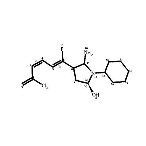 C=C(Cl)/C=C\C=C(/F)C1C[C@H](O)N(C2CCCCC2)C1N